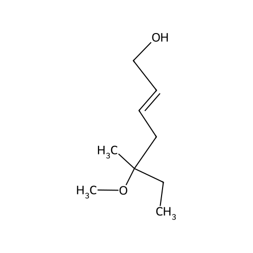 CCC(C)(C/C=C/CO)OC